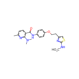 Cc1ccc(C(=O)Nc2ccc(OCCc3csc(NC(=O)O)n3)cc2)c(N(C)C)n1